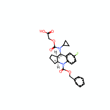 O=C(O)COC(=O)N(C1CC1)[C@H]1c2cc(F)ccc2N(C(=O)OCc2ccccc2)[C@H]2CCC[C@H]21